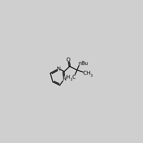 CCCCC(C)(C)C(=O)c1ncccn1